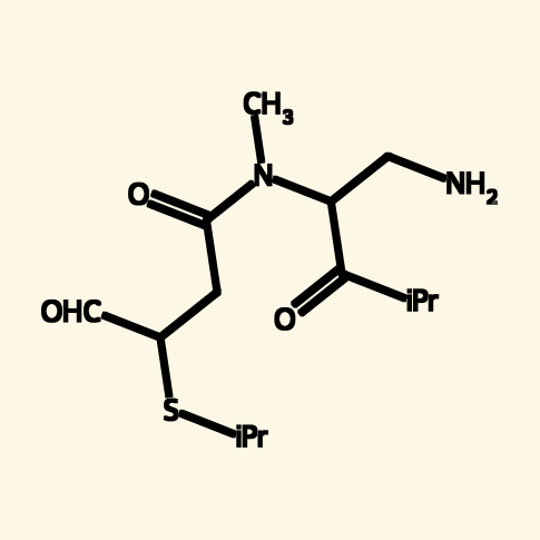 CC(C)SC(C=O)CC(=O)N(C)C(CN)C(=O)C(C)C